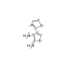 Nc1scc(-c2nccs2)c1N